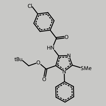 CSc1nc(NC(=O)c2ccc(Cl)cc2)c(C(=O)OCC(C)(C)C)n1-c1ccccc1